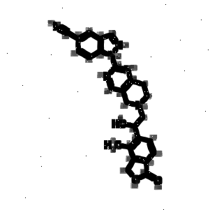 Cc1c(C(O)CN2CCc3nc(-n4ncc5cc(C#N)ccc54)ncc3C2)ccc2c1COC2=O